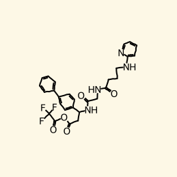 O=C(CCCNc1ccccn1)NCC(=O)NC(CC(=O)OC(=O)C(F)(F)F)c1ccc(-c2ccccc2)cc1